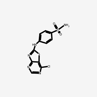 NS(=O)(=O)c1ccc(Nc2nc3ncnc(Cl)c3s2)cc1